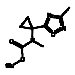 Cc1noc(C2(N(C)C(=O)OC(C)(C)C)CC2)n1